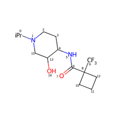 CC(C)N1CCC(NC(=O)C2(C(F)(F)F)CCC2)C(O)C1